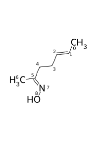 CC=CCCC(C)=NO